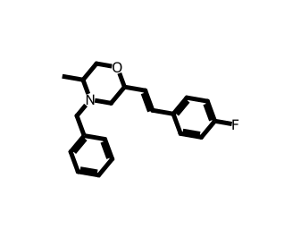 CC1COC(/C=C/c2ccc(F)cc2)CN1Cc1ccccc1